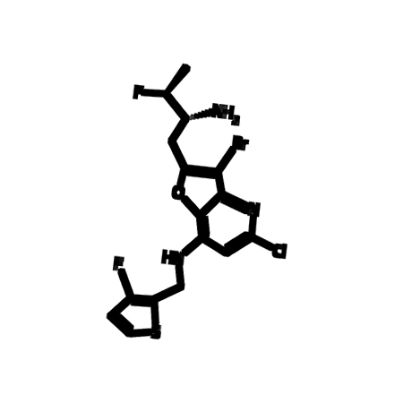 C[C@H](F)[C@H](N)Cc1oc2c(NCc3sccc3F)cc(Cl)nc2c1Br